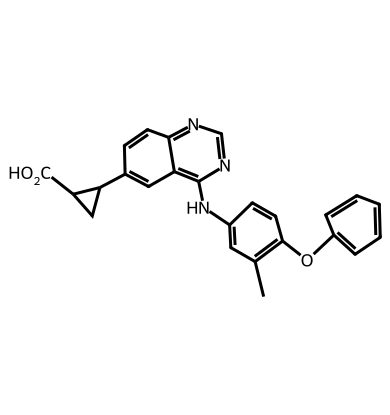 Cc1cc(Nc2ncnc3ccc(C4CC4C(=O)O)cc23)ccc1Oc1ccccc1